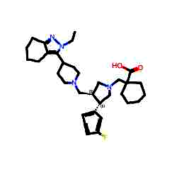 CCn1nc2c(c1C1CCN(C[C@H]3CN(CC4(C(=O)O)CCCCC4)C[C@@H]3c3cccc(F)c3)CC1)CCCC2